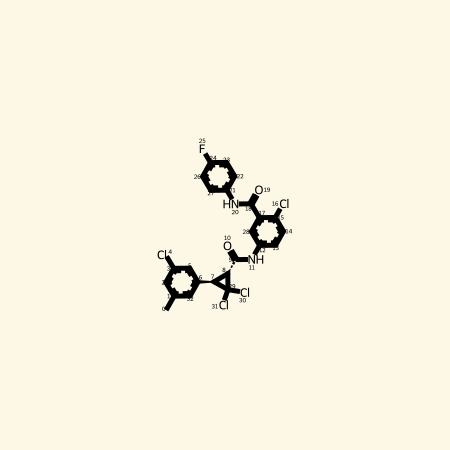 Cc1cc(Cl)cc([C@H]2[C@H](C(=O)Nc3ccc(Cl)c(C(=O)Nc4ccc(F)cc4)c3)C2(Cl)Cl)c1